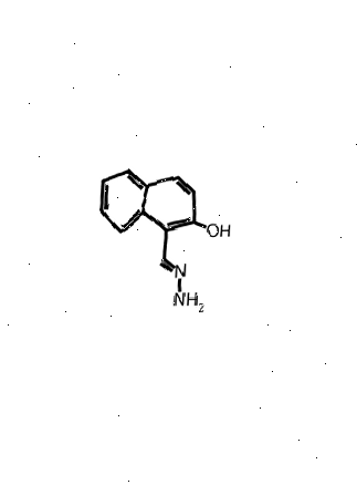 NN=Cc1c(O)ccc2ccccc12